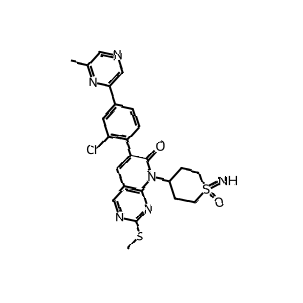 CSc1ncc2cc(-c3ccc(-c4cncc(C)n4)cc3Cl)c(=O)n(C3CCS(=N)(=O)CC3)c2n1